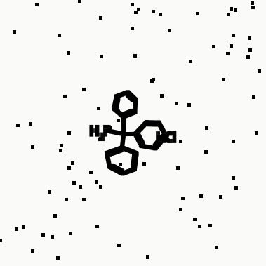 Cl.PC(c1ccccc1)(c1ccccc1)c1ccccc1